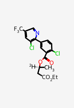 [2H][C@](C)(CC(=O)OCC)OC(=O)c1cc(-c2ncc(C(F)(F)F)cc2Cl)ccc1Cl